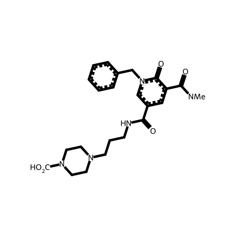 CNC(=O)c1cc(C(=O)NCCCN2CCN(C(=O)O)CC2)cn(Cc2ccccc2)c1=O